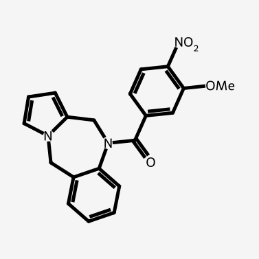 COc1cc(C(=O)N2Cc3cccn3Cc3ccccc32)ccc1[N+](=O)[O-]